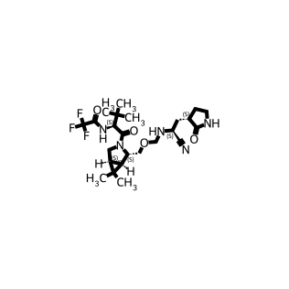 CC(C)(C)[C@H](NC(=O)C(F)(F)F)C(=O)N1C[C@H]2[C@@H]([C@H]1COCN[C@H](C#N)C[C@@H]1CCNC1=O)C2(C)C